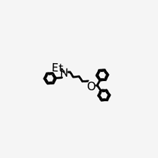 CCN(CCCCCOC(c1ccccc1)c1ccccc1)Cc1ccccc1